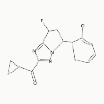 O=C(c1nc2n(n1)C(C1CC=CC=C1Cl)CC2F)C1CC1